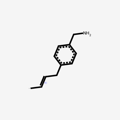 [CH2]/C=C/Cc1ccc(CN)cc1